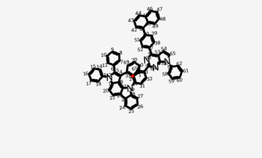 c1ccc(-c2c(-c3ccccc3)n(-c3ccccc3)c3ccc4c5ccccc5n(-c5ccc(-c6nc(-c7ccc(-c8cccc9ccccc89)cc7)c7ccn(-c8ccccc8)c7n6)cc5)c4c23)cc1